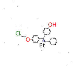 CC/C(=C(/c1ccc(O)cc1)c1ccc(OCCCl)cc1)c1ccccc1